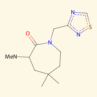 CNC1CC(C)(C)CCN(Cc2ncsn2)C1=O